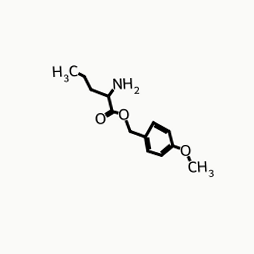 CCCC(N)C(=O)OCc1ccc(OC)cc1